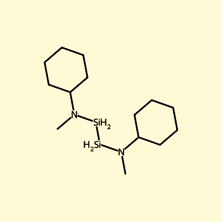 CN([SiH2][SiH2]N(C)C1CCCCC1)C1CCCCC1